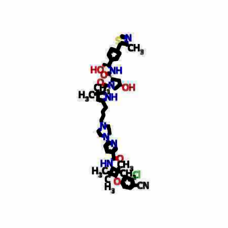 Cc1ncsc1-c1ccc([C@H](CO)NC(=O)[C@@H]2C[C@@H](O)CN2C(=O)[C@H]2NC(CCCCN3CCN(c4ccc(C(=O)N[C@H]5C(C)(C)[C@H](Oc6ccc(C#N)c(Cl)c6)C5(C)C)cn4)CC3)=CC2(C)C)cc1